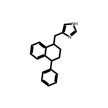 c1ccc(C2CCC(Cc3c[nH]cn3)c3ccccc32)cc1